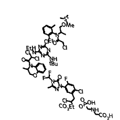 CC1COc2ccccc2N1C(=O)C(Cl)Cl.CCNc1nc(Cl)nc(NC(C)(C)C)n1.CCOC(=O)C(Cl)Cc1cc(-n2nc(C)n(C(F)F)c2=O)c(F)cc1Cl.CCc1cccc(C)c1N(C(=O)CCl)C(C)COC.C[S+](C)C.O=C(O)CNCP(=O)([O-])O